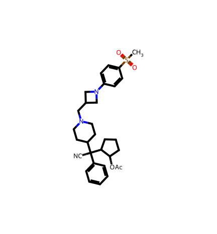 CC(=O)OC1CCCC1C(C#N)(c1ccccc1)C1CCN(CC2CN(c3ccc(S(C)(=O)=O)cc3)C2)CC1